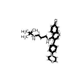 CC(C)(C)NCCCNc1c(-c2ccc(N3CCOCC3)cc2)cnc2cc(Cl)ccc12